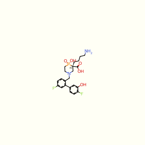 NCCCC[C@@]1(C(=O)O)CN(Cc2ccc(F)cc2-c2ccc(F)c(O)c2)CCP1(=O)O